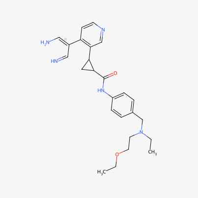 CCOCCN(CC)Cc1ccc(NC(=O)C2CC2c2cnccc2/C(C=N)=C/N)cc1